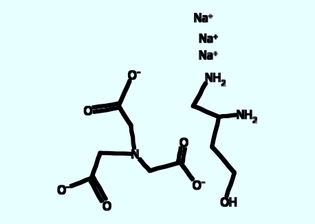 NCC(N)CCO.O=C([O-])CN(CC(=O)[O-])CC(=O)[O-].[Na+].[Na+].[Na+]